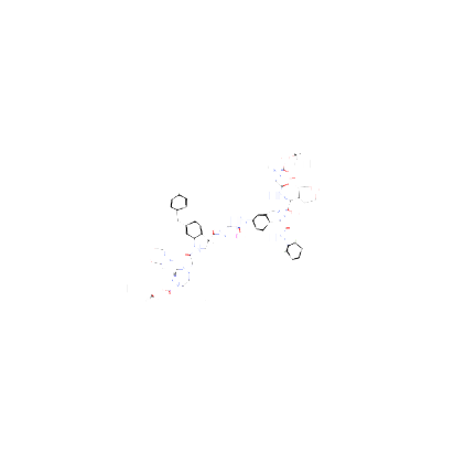 C[C@@H]1COCCN1C[C@H]1CN(C(=O)OC(C)(C)C)[C@H](C)CN1CC(=O)N1C[C@@](C)(C(=O)NCC(=O)Nc2ccc3c(c2)CN(C(=O)C(NC(=O)CN(C)C(=O)OC(C)(C)C)C2CCOCC2)[C@@H]3C(=O)Nc2c(F)cccc2F)c2ccc(Cc3ccc(F)cc3)cc21